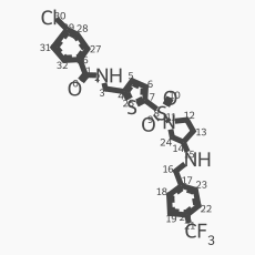 O=C(NCc1ccc(S(=O)(=O)N2CCC(NCc3ccc(C(F)(F)F)cc3)C2)s1)c1ccc(Cl)cc1